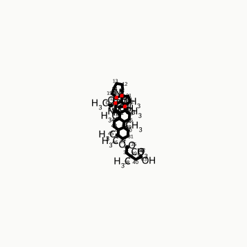 Cc1nnc(C(C)C)n1C1CC2CCC(C1)N2C(=O)[C@]12CCC[C@@H]1[C@H]1CCC3[C@@]4(C)CC[C@H](OC(=O)CC(C)(C)CC(=O)O)C(C)(C)C4CC[C@@]3(C)[C@]1(C)CC2